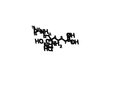 Cl.Cl.NC(CCCCB(O)O)(CCNC1CC1)C(=O)O